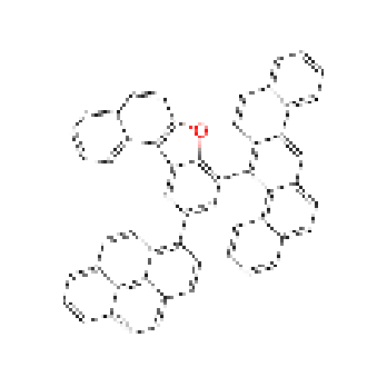 c1ccc2c(c1)ccc1c(-c3cc(-c4ccc5ccc6cccc7ccc4c5c67)cc4c3oc3ccc5ccccc5c34)c3c(ccc4ccccc43)cc12